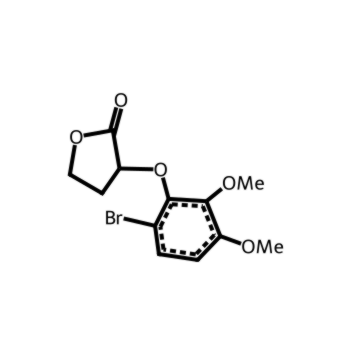 COc1ccc(Br)c(OC2CCOC2=O)c1OC